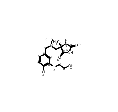 CC1(CN(C=O)Cc2ccc(Cl)c(OCCO)c2)NC(=O)NC1=O